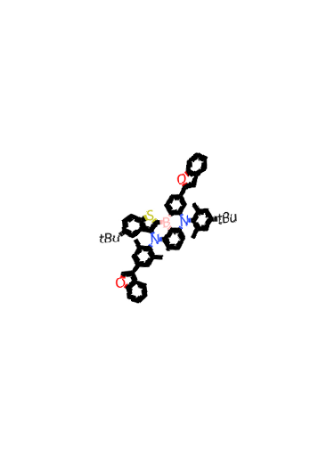 Cc1cc(C(C)(C)C)cc(C)c1N1c2cc(-c3cc4ccccc4o3)ccc2B2c3sc4ccc(C(C)(C)C)cc4c3N(c3c(C)cc(-c4coc5ccccc45)cc3C)c3cccc1c32